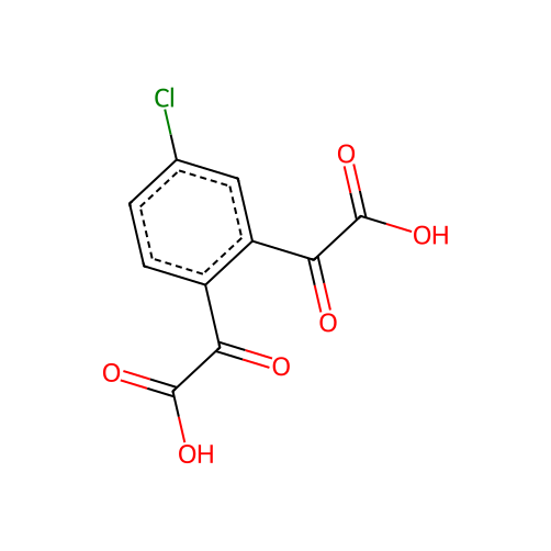 O=C(O)C(=O)c1ccc(Cl)cc1C(=O)C(=O)O